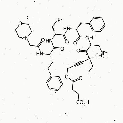 CC(C)C[C@H](NC(=O)[C@H](CCc1ccccc1)NC(=O)CN1CCOCC1)C(=O)N[C@@H](Cc1ccccc1)C(=O)N[C@@H](CC(C)C)C(=O)[C@](C)(C#CCOC(=O)CCC(=O)O)CI